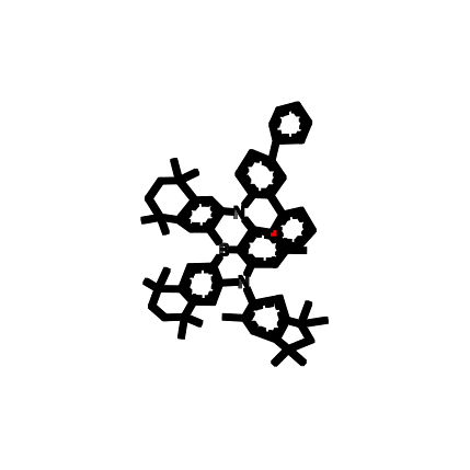 Cc1cc2c3c(c1)N(c1ccc(-c4ccccc4)cc1-c1ccccc1)c1cc4c(cc1B3c1cc3c(cc1N2c1cc2c(cc1C)C(C)(C)CC2(C)C)C(C)(C)CCC3(C)C)C(C)(C)CCC4(C)C